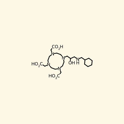 O=C(O)CN1CCN(CC(=O)O)CCN(CC(O)CNCC2CCCCC2)CCN(CC(=O)O)CC1